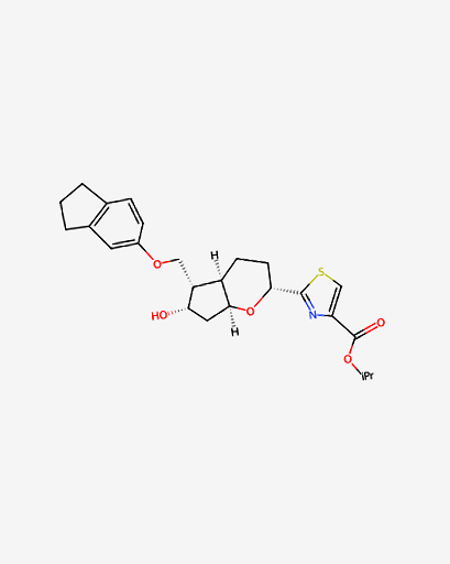 CC(C)OC(=O)c1csc([C@H]2CC[C@@H]3[C@@H](COc4ccc5c(c4)CCC5)[C@@H](O)C[C@@H]3O2)n1